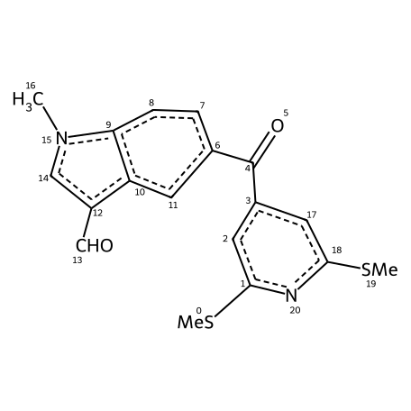 CSc1cc(C(=O)c2ccc3c(c2)c(C=O)cn3C)cc(SC)n1